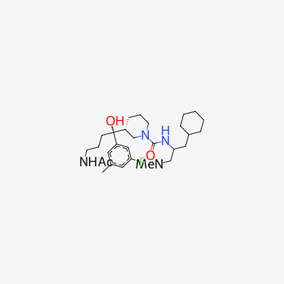 CNCC(CC1CCCCC1)NC(=O)N1CCC[C@@H]([C@@](O)(CCCNC(C)=O)c2cc(C)cc(F)c2)C1